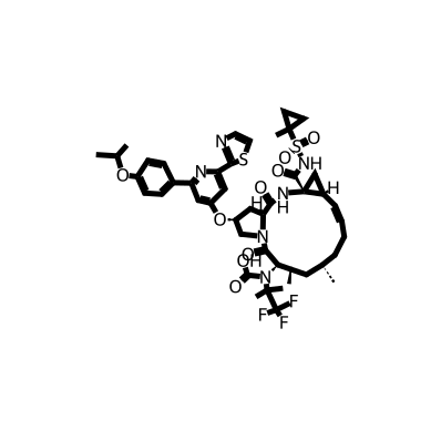 CC(C)Oc1ccc(-c2cc(O[C@@H]3C[C@H]4C(=O)N[C@]5(C(=O)NS(=O)(=O)C6(C)CC6)C[C@H]5/C=C\CC[C@H](C)C[C@@H](C)[C@H](N(C(=O)O)C(C)(C)C(F)(F)F)C(=O)N4C3)cc(-c3nccs3)n2)cc1